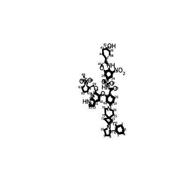 CC(C)c1ccccc1[C@H]1CCCN1C1CC2(CCN(c3ccc(C(=O)NS(=O)(=O)c4cc5c(c([N+](=O)[O-])c4)N[C@@H]([C@H]4CC[C@](C)(O)CC4)CO5)c(Oc4cc5cc[nH]c5nc4OC[C@H]4CCCN4S(C)(=O)=O)c3)CC2)C1